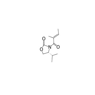 C/C=C(\C)C(=O)N1C(=O)OC[C@H]1C(C)C